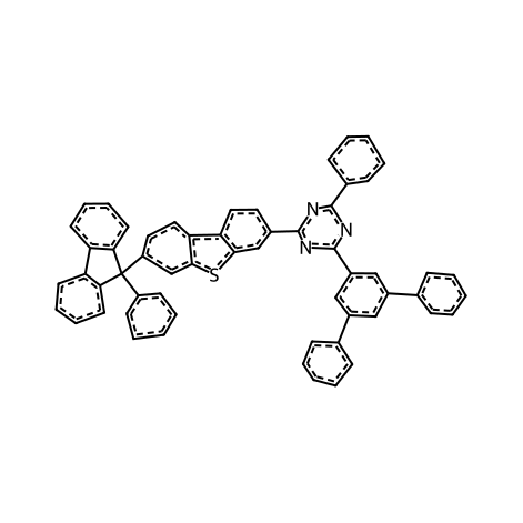 c1ccc(-c2cc(-c3ccccc3)cc(-c3nc(-c4ccccc4)nc(-c4ccc5c(c4)sc4cc(C6(c7ccccc7)c7ccccc7-c7ccccc76)ccc45)n3)c2)cc1